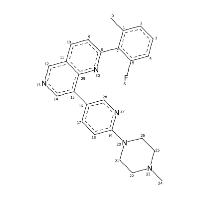 Cc1cccc(F)c1-c1ccc2cncc(-c3ccc(N4CCN(C)CC4)nc3)c2n1